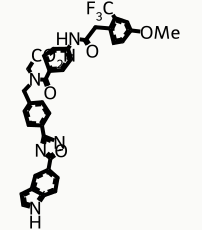 COc1ccc(CC(=O)Nc2ccc(C(=O)N(CC(=O)O)Cc3ccc(-c4noc(-c5ccc6[nH]ccc6c5)n4)cc3)cc2)c(C(F)(F)F)c1